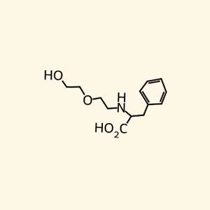 O=C(O)C(Cc1ccccc1)NCCOCCO